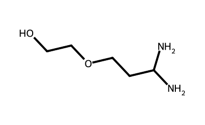 NC(N)CCOCCO